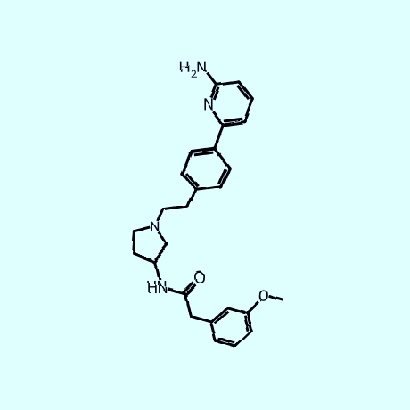 COc1cccc(CC(=O)NC2CCN(CCc3ccc(-c4cccc(N)n4)cc3)C2)c1